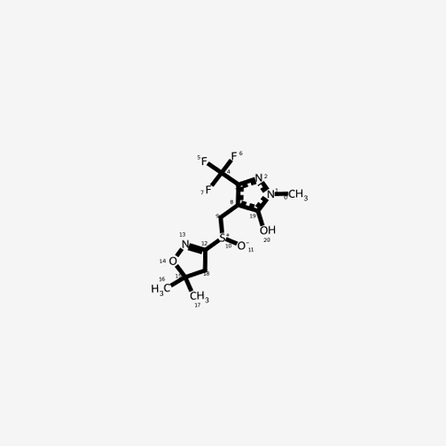 Cn1nc(C(F)(F)F)c(C[S+]([O-])C2=NOC(C)(C)C2)c1O